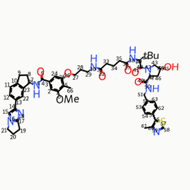 COc1cc(C(=O)N[C@@H]2CCc3ccc(-c4cn5c(n4)CCC5)cc32)cc(OCCCNC(=O)CCCC(=O)N[C@H](C(=O)N2C[C@H](O)C[C@H]2C(=O)NCc2ccc(-c3scnc3C)cc2)C(C)(C)C)c1C